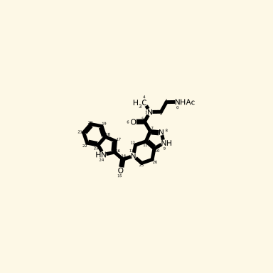 CC(=O)NCCN(C)C(=O)c1n[nH]c2c1CN(C(=O)c1cc3ccccc3[nH]1)CC2